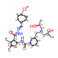 COc1ccc(C=NNC(=O)c2c(NC(=O)c3cccc(CN(CC(C)O)CC(C)O)c3)sc(C)c2C)cc1